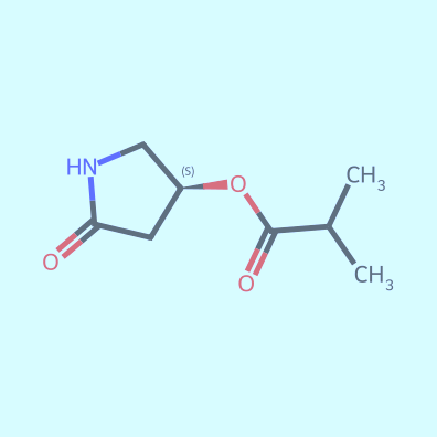 CC(C)C(=O)O[C@@H]1CNC(=O)C1